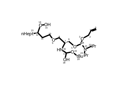 C=CCOP(OC[C@@H](COCC[C@@H](CCCCCCC)OO)NC(O)OC(C)(C)C)N(C(C)C)C(C)C